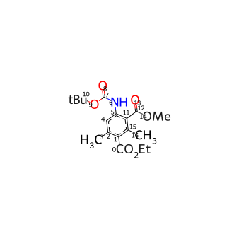 CCOC(=O)c1c(C)cc(NC(=O)OC(C)(C)C)c(C(=O)OC)c1C